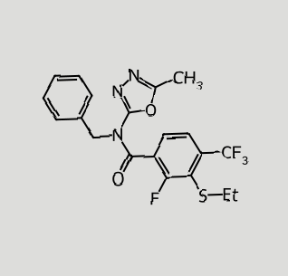 CCSc1c(C(F)(F)F)ccc(C(=O)N(Cc2ccccc2)c2nnc(C)o2)c1F